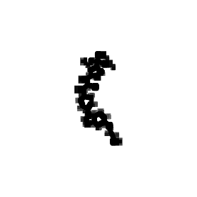 CC(C)(C)c1cc(NC(=O)Nc2ccc(-n3cnc4cc(OCCO)ccc43)cc2)no1